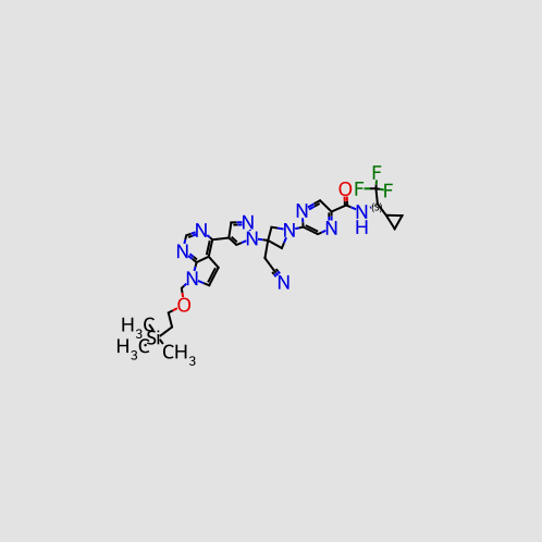 C[Si](C)(C)CCOCn1ccc2c(-c3cnn(C4(CC#N)CN(c5cnc(C(=O)N[C@@H](C6CC6)C(F)(F)F)cn5)C4)c3)ncnc21